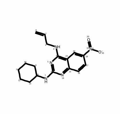 C=CCNc1nc(NC2CCCCC2)nc2ccc([N+](=O)[O-])cc12